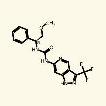 COC[C@@H](NC(=O)Nc1cc2[nH]nc(C(F)(F)F)c2cn1)c1ccccc1